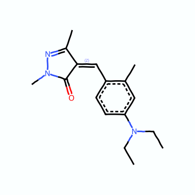 CCN(CC)c1ccc(/C=C2\C(=O)N(C)N=C2C)c(C)c1